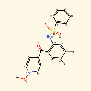 CO[n+]1ccc(C(=O)c2cc(C)c(C)cc2NS(=O)(=O)c2ccccc2)cc1